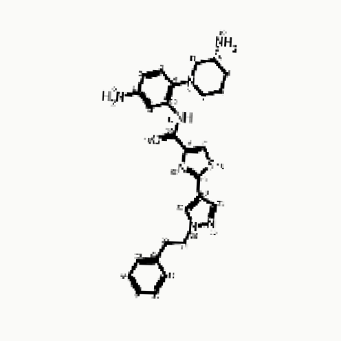 Nc1ccc(N2CCC[C@@H](N)C2)c(NC(=O)c2csc(-c3cnn(CCc4ccccc4)c3)n2)c1